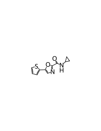 O=C(NC1CC1)c1ncc(-c2cccs2)o1